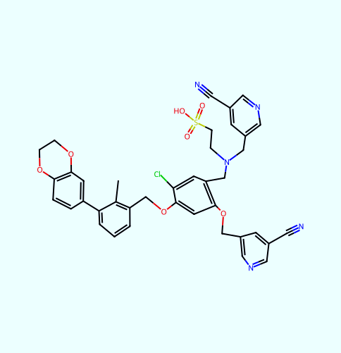 Cc1c(COc2cc(OCc3cncc(C#N)c3)c(CN(CCS(=O)(=O)O)Cc3cncc(C#N)c3)cc2Cl)cccc1-c1ccc2c(c1)OCCO2